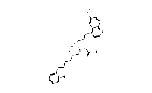 COc1ccc2nccc(CCC[C@@H]3CCN(CCCCc4ccccc4F)C[C@@H]3CC(=O)O)c2c1